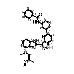 C=N/C(C)=C\N(C)c1nccc2[nH]c(-c3n[nH]c4ccc(-c5cncc(NC(=O)c6ccccc6)c5)nc34)nc12